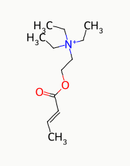 CC=CC(=O)OCC[N+](CC)(CC)CC